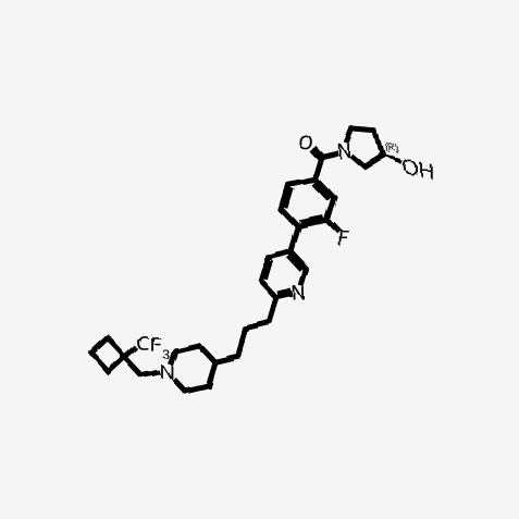 O=C(c1ccc(-c2ccc(CCCC3CCN(CC4(C(F)(F)F)CCC4)CC3)nc2)c(F)c1)N1CC[C@@H](O)C1